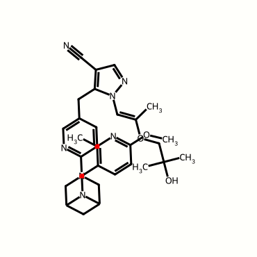 COc1ccc(CN2C3CC2CN(c2ccc(Cc4c(C#N)cnn4/C=C(\C)OCC(C)(C)O)cn2)C3)c(C)n1